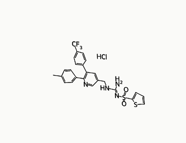 Cc1ccc(-c2ncc(CN/C(N)=N/S(=O)(=O)c3cccs3)cc2-c2ccc(C(F)(F)F)cc2)cc1.Cl